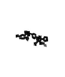 COc1ccc(F)cc1C(=O)NCc1ccc(-n2nc(C3CCCC3)c(N)c2C#N)cc1